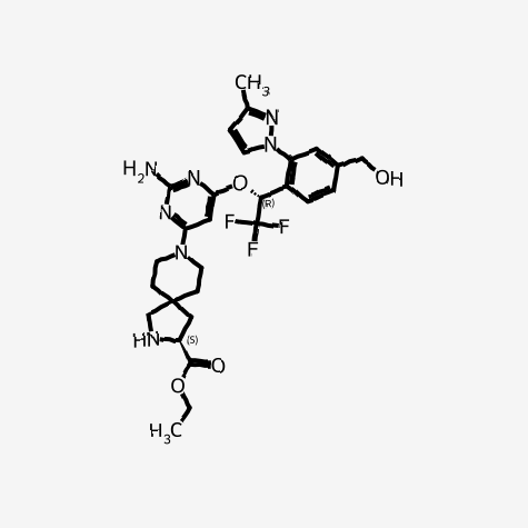 CCOC(=O)[C@@H]1CC2(CCN(c3cc(O[C@H](c4ccc(CO)cc4-n4ccc(C)n4)C(F)(F)F)nc(N)n3)CC2)CN1